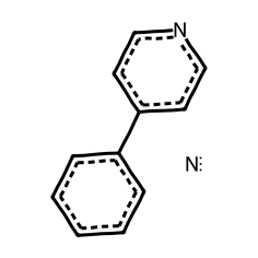 [N].c1ccc(-c2ccncc2)cc1